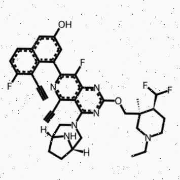 C#Cc1c(F)ccc2cc(O)cc(-c3nc(C#C)c4c(N5C[C@H]6CC[C@@H](C5)N6)nc(OC[C@]5(C)CN(CC)CC[C@@H]5C(F)F)nc4c3F)c12